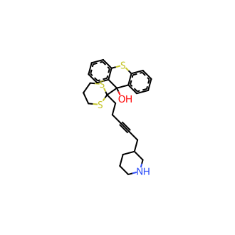 OC1(C2(CCC#CCC3CCCNC3)SCCCS2)c2ccccc2Sc2ccccc21